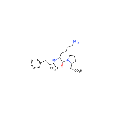 NCCCC[C@H](N[C@H](CCc1ccccc1)C(=O)O)C(=O)N1CCC[C@H]1CC(=O)O